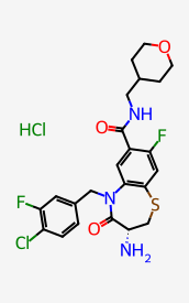 Cl.N[C@H]1CSc2cc(F)c(C(=O)NCC3CCOCC3)cc2N(Cc2ccc(Cl)c(F)c2)C1=O